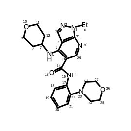 CCn1ncc2c(NC3CCOCC3)c(C(=O)Nc3ccccc3N3CCOCC3)cnc21